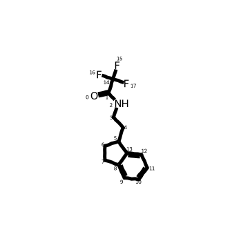 O=C(NCCC1CCc2ccccc21)C(F)(F)F